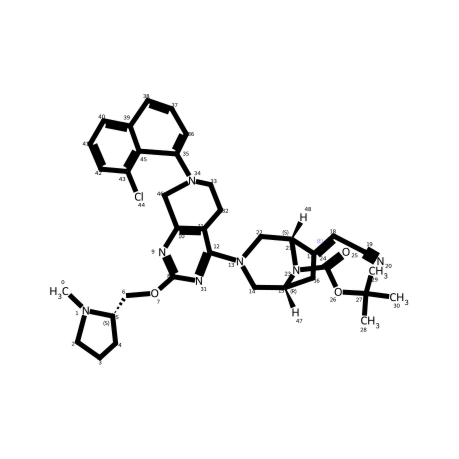 CN1CCC[C@H]1COc1nc2c(c(N3C[C@H]4C/C(=C\C#N)[C@@H](C3)N4C(=O)OC(C)(C)C)n1)CCN(c1cccc3cccc(Cl)c13)C2